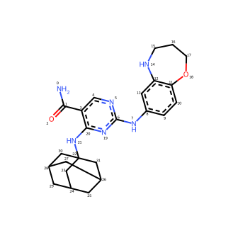 NC(=O)c1cnc(Nc2ccc3c(c2)NCCCO3)nc1NC12CC3CC(CC(C3)C1)C2